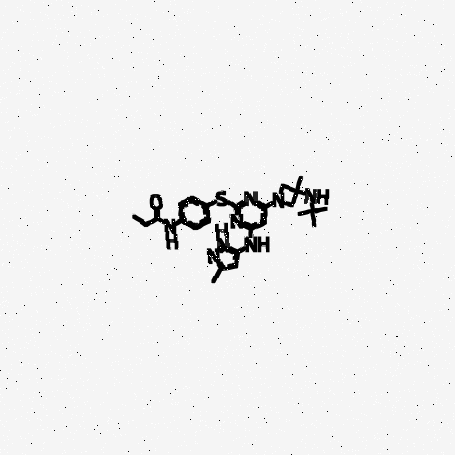 CCC(=O)Nc1ccc(Sc2nc(Nc3cc(C)n[nH]3)cc(N3CC(C)(NC(C)(C)C)C3)n2)cc1